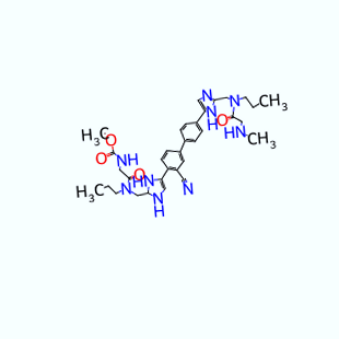 CCCN(Cc1ncc(-c2ccc(-c3ccc(C4=CNC(CN(CCC)C(=O)CNC(=O)OC)N4)c(C#N)c3)cc2)[nH]1)C(=O)CNC